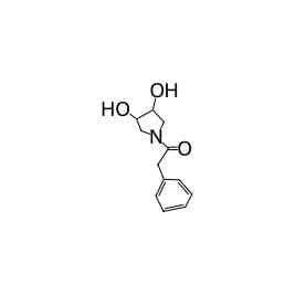 O=C(Cc1ccccc1)N1CC(O)C(O)C1